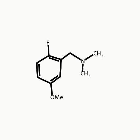 COc1ccc(F)c(CN(C)C)c1